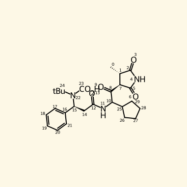 C[C@@H]1C(=O)NC(=O)[C@H]1C(=O)C(NC(=O)C[C@@H](c1ccccc1)N(C(=O)O)C(C)(C)C)C1CCCC1